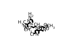 Cc1nn(C)c(OCC[C@H](C)Nc2cc(Cl)ncc2-c2cnc(S(C)(=O)=O)cn2)c1-c1nccc(N)n1